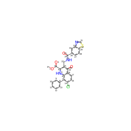 COC(=O)c1[nH]c2c(-c3ccccc3)c(Cl)ccc2c(=O)c1CNC(=O)c1ccc2scnc2c1